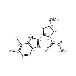 CO[C@H]1C[C@@H](c2nc3ccc(Cl)c(C)c3[nH]2)N(C(=O)OC(C)(C)C)C1